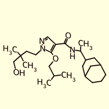 CC(C)COc1c(C(=O)NC(C)C2CC3CCCC(C3)C2)cnn1CCC(C)(C)CO